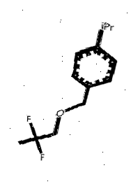 CC(C)c1ccc(COCC(C)(F)F)cc1